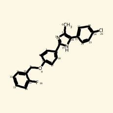 Cc1nc(-c2ccc(OCc3ccccc3F)cc2)[nH]c1-c1ccc(Cl)cc1